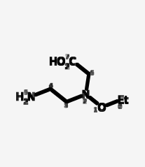 CCON(CCN)CC(=O)O